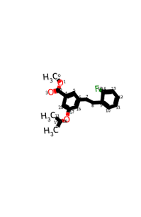 COC(=O)c1cc(CCc2ccccc2F)cc(OC(C)C)c1